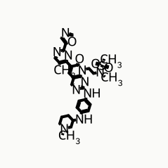 Cc1cnc(-c2cnco2)nc1-c1cc2cnc(Nc3ccc(NC4CCCN(C)C4)cc3)nc2n(CCN(C)S(C)(=O)=O)c1=O